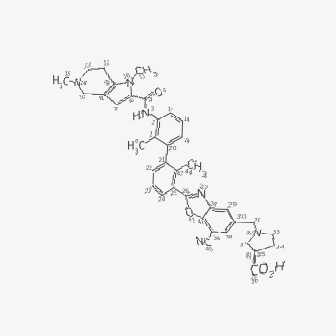 Cc1c(NC(=O)c2cc3c(n2C)CCN(C)C3)cccc1-c1cccc(-c2nc3cc(CN4CC[C@@H](C(=O)O)C4)cc(C#N)c3o2)c1C